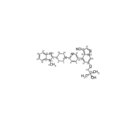 Cn1c(C2CCN(c3ccc(-c4cc(OCC(C)(C)O)cn5ncc(C#N)c45)cn3)CC2)nc2ccccc21